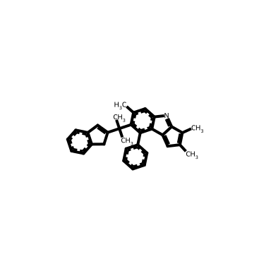 CC1=C(C)C2=Nc3cc(C)c(C(C)(C)C4=Cc5ccccc5C4)c(-c4ccccc4)c3C2=C1